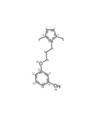 Cc1ccc(C)n1CCCOc1cccc(O)c1